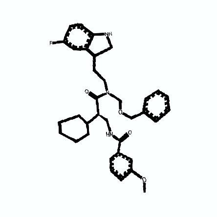 COc1cccc(C(=O)NC[C@H](C(=O)N(CCC2CNc3ccc(F)cc32)COCc2ccccc2)C2CCCCC2)c1